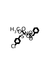 COC(=O)/C(=N/OS(=O)(=O)Cc1ccccc1)SCc1ccc(Cl)cc1